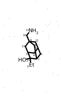 CCC1(O)C2CC3CC1CC(CN)(C3)C2